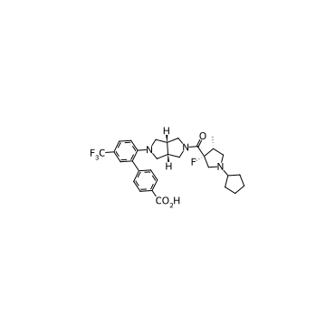 C[C@@H]1CN(C2CCCC2)C[C@@]1(F)C(=O)N1C[C@@H]2CN(c3ccc(C(F)(F)F)cc3-c3ccc(C(=O)O)cc3)C[C@@H]2C1